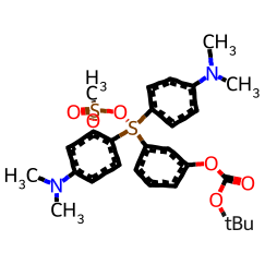 CN(C)c1ccc(S(OS(C)(=O)=O)(c2ccc(N(C)C)cc2)c2cccc(OC(=O)OC(C)(C)C)c2)cc1